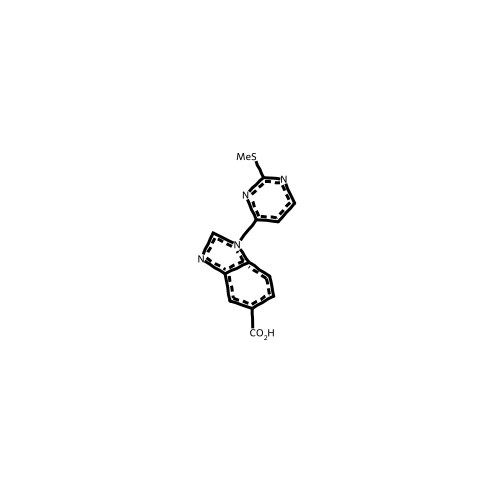 CSc1nccc(-n2cnc3cc(C(=O)O)ccc32)n1